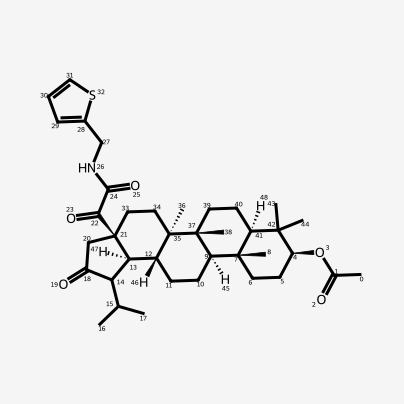 CC(=O)O[C@H]1CC[C@]2(C)[C@H]3CC[C@@H]4[C@H]5C(C(C)C)C(=O)C[C@]5(C(=O)C(=O)NCc5cccs5)CC[C@@]4(C)[C@]3(C)CC[C@H]2C1(C)C